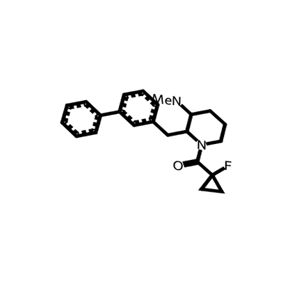 CNC1CCCN(C(=O)C2(F)CC2)C1Cc1cccc(-c2ccccc2)c1